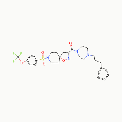 O=C(C1=NOC2(CCN(S(=O)(=O)c3ccc(OC(F)(F)F)cc3)CC2)C1)N1CCN(CCCc2ccccc2)CC1